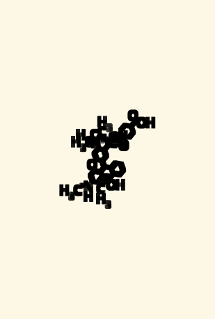 CCNc1cc2c(cc1C)C(c1ccccc1C(=O)O)=c1cc3c(cc1O2)=[N+](C)C(C)(C)CC3CS(=O)(=O)N1CCC(C(=O)O)CC1